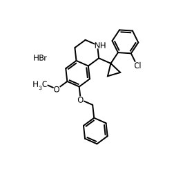 Br.COc1cc2c(cc1OCc1ccccc1)C(C1(c3ccccc3Cl)CC1)NCC2